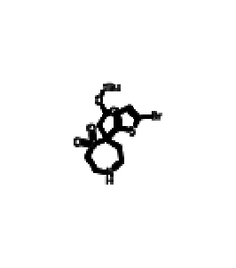 CC(C)(C)OC(=O)CC1(c2ccc(Br)s2)CCNCCS1(=O)=O